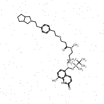 CN(CCNC[C@H](O[Si](C)(C)C(C)(C)C)c1ccc(O)c2[nH]c(=O)ccc12)C(=O)CCOCCc1ccc(CCN2CC3CCCC3C2)cc1